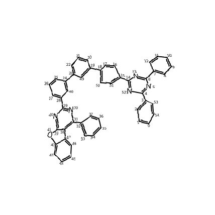 c1ccc(-c2nc(-c3ccccc3)nc(-c3ccc(-c4cccc(-c5cccc(-c6nc(-c7ccccc7)c7c(n6)oc6ccccc67)c5)c4)cc3)n2)cc1